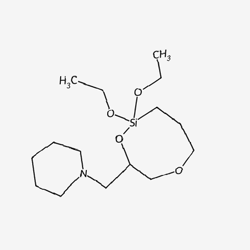 CCO[Si]1(OCC)CCCOCC(CN2CCCCC2)O1